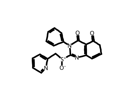 O=C1CC=Cc2nc([S+]([O-])Cc3ccccn3)n(-c3ccccc3)c(=O)c21